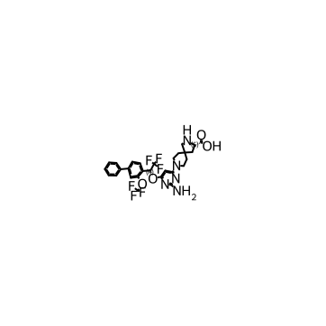 Nc1nc(O[C@H](c2ccc(-c3ccccc3)cc2OC(F)(F)F)C(F)(F)F)cc(N2CCC3(CC2)CN[C@H](C(=O)O)C3)n1